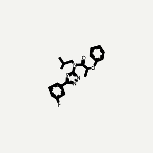 CC(C)CN(C(=O)C(C)Oc1ccccc1)c1nnc(-c2cccc(F)c2)s1